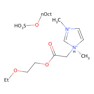 CCCCCCCCOS(=O)(=O)O.CCOCCOC(=O)C[N@+]1(C)C=C[N+](C)=C1